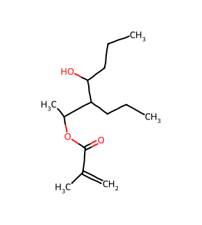 C=C(C)C(=O)OC(C)C(CCC)C(O)CCC